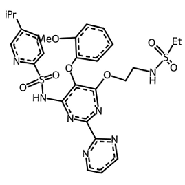 CCS(=O)(=O)NCCOc1nc(-c2ncccn2)nc(NS(=O)(=O)c2ccc(C(C)C)cn2)c1Oc1ccccc1OC